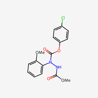 COC(=O)NN(C(=O)Oc1ccc(Cl)cc1)c1ccccc1OC